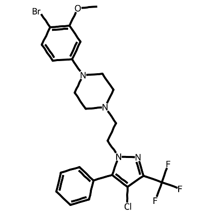 COc1cc(N2CCN(CCn3nc(C(F)(F)F)c(Cl)c3-c3ccccc3)CC2)ccc1Br